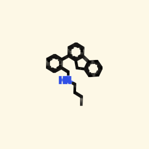 CCCCNCc1ccccc1-c1cccc2c1Cc1ccccc1-2